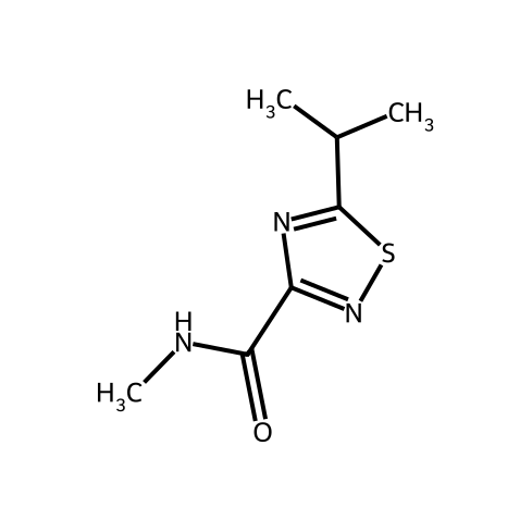 CNC(=O)c1nsc(C(C)C)n1